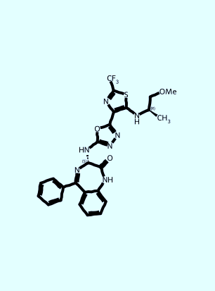 COC[C@@H](C)Nc1sc(C(F)(F)F)nc1-c1nnc(N[C@H]2N=C(c3ccccc3)c3ccccc3NC2=O)o1